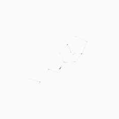 CCCO[C@H]1CC2CC[C@@H](C1)N2